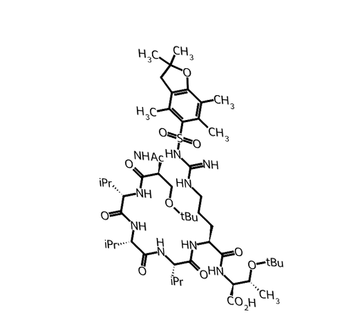 CC(=O)N[C@@H](COC(C)(C)C)C(=O)N[C@H](C(=O)N[C@H](C(=O)N[C@H](C(=O)N[C@@H](CCCNC(=N)NS(=O)(=O)c1c(C)c(C)c2c(c1C)CC(C)(C)O2)C(=O)N[C@H](C(=O)O)[C@@H](C)OC(C)(C)C)C(C)C)C(C)C)C(C)C